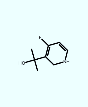 CC(C)(O)C1=C(F)C=CNC1